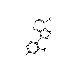 Fc1ccc(-c2csc3c(Cl)ccnc23)c(F)c1